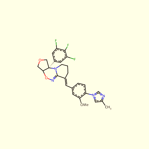 COc1cc(/C=C2\CCCN3C2=NOC2COC[C@]23c2cc(F)c(F)c(F)c2)ccc1-n1cnc(C)c1